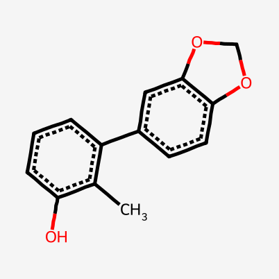 Cc1c(O)cccc1-c1ccc2c(c1)OCO2